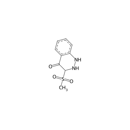 CS(=O)(=O)C1NNc2ccccc2C1=O